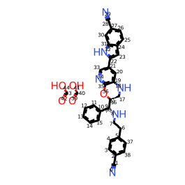 N#Cc1ccc(CCN[C@H](c2ccccc2)[C@@H]2CNc3cc(-c4cc5ccc(C#N)cc5[nH]4)cnc3O2)cc1.O=CO.O=CO